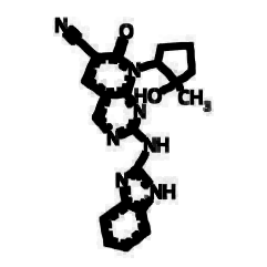 CC1(O)CCCC1n1c(=O)c(C#N)cc2cnc(Nc3nc4ccccc4[nH]3)nc21